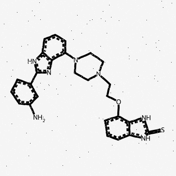 Nc1cccc(-c2nc3c(N4CCN(CCOc5cccc6[nH]c(=S)[nH]c56)CC4)cccc3[nH]2)c1